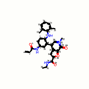 C=CC(=O)Nc1ccc(Nc2c(C)cccc2C)c(-c2cn(C)c(=O)c3oc(C(=O)NCC)cc23)c1